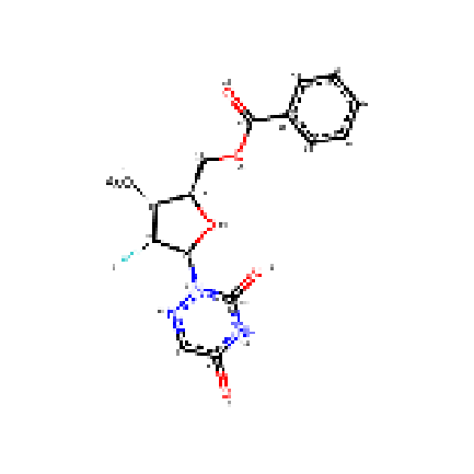 CC(=O)O[C@H]1[C@@H](F)[C@H](n2ncc(=O)[nH]c2=O)O[C@@H]1COC(=O)c1ccccc1